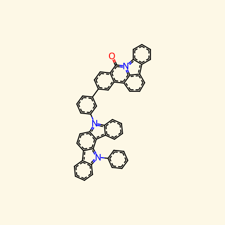 O=c1c2ccc(-c3cccc(-n4c5ccccc5c5c4ccc4c6ccccc6n(-c6ccccc6)c45)c3)cc2c2cccc3c4ccccc4n1c23